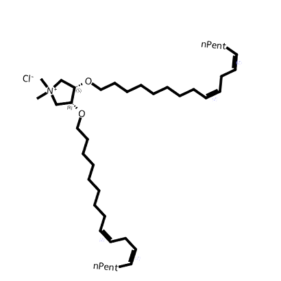 CCCCC/C=C\C/C=C\CCCCCCCCO[C@H]1C[N+](C)(C)C[C@H]1OCCCCCCCC/C=C\C/C=C\CCCCC.[Cl-]